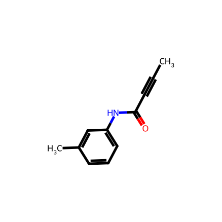 CC#CC(=O)Nc1cccc(C)c1